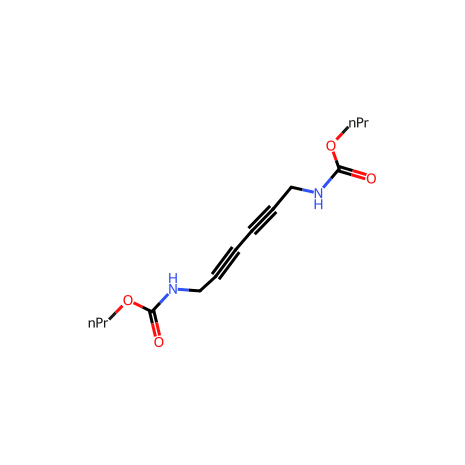 CCCOC(=O)NCC#CC#CCNC(=O)OCCC